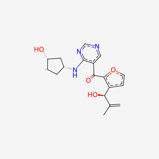 C=C(C)[C@@H](O)c1ccoc1C(=O)c1cncnc1N[C@@H]1C[CH][C@H](O)C1